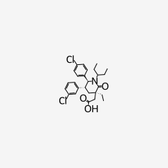 CCC(CC)N1C(=O)[C@@](CC)(CC(=O)O)C[C@H](c2cccc(Cl)c2)[C@H]1c1ccc(Cl)cc1